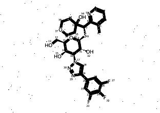 Cc1cccnc1[C@@H](S[C@@H]1O[C@H](CO)[C@H](O)[C@H](n2cc(-c3cc(F)c(F)c(F)c3)nn2)[C@H]1O)C1(O)CCOCC1